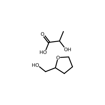 CC(O)C(=O)O.OCC1CCCO1